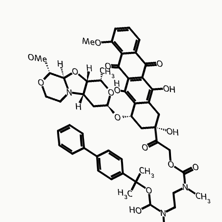 COc1cccc2c1C(=O)c1c(O)c3c(c(O)c1C2=O)C[C@@](O)(C(=O)COC(=O)N(C)CCN(C)C(O)OC(C)(C)c1ccc(-c2ccccc2)cc1)C[C@@H]3O[C@H]1C[C@H]2[C@H](O[C@@H]3[C@@H](OC)OCCN32)[C@H](C)O1